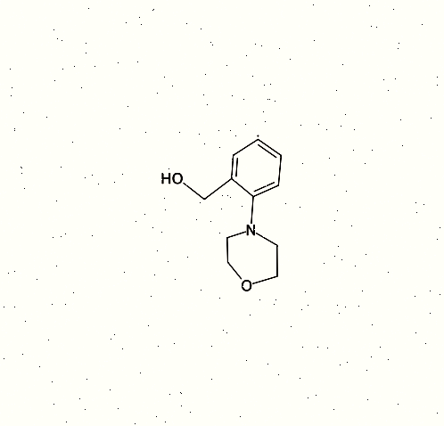 OCc1c[c]ccc1N1CCOCC1